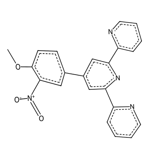 COc1ccc(-c2cc(-c3ccccn3)nc(-c3ccccn3)c2)cc1[N+](=O)[O-]